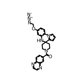 [N-]=[N+]=NCOc1ccc2c(c1)NC1(CCN(C(=O)c3ccc4nccnc4c3)CC1)c1cccn1-2